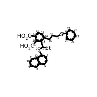 CCC(Sc1cccc2ccccc12)c1c(CCCSc2ccccc2)ccc(C(=O)O)c1C(=O)O